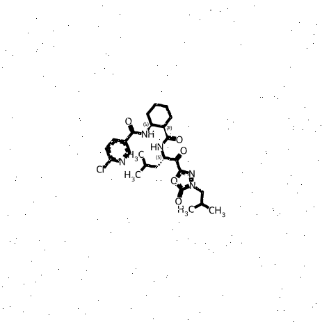 CC(C)C[C@H](NC(=O)[C@@H]1CCCC[C@@H]1NC(=O)c1ccc(Cl)nc1)C(=O)c1nn(CC(C)C)c(=O)o1